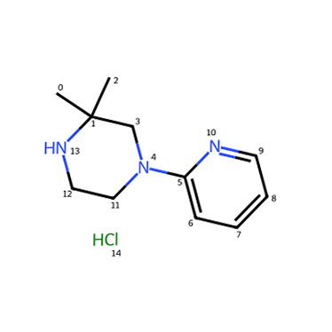 CC1(C)CN(c2ccccn2)CCN1.Cl